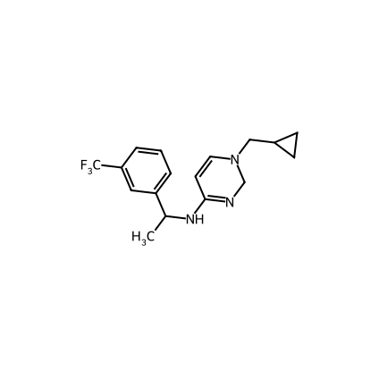 CC(NC1=NCN(CC2CC2)C=C1)c1cccc(C(F)(F)F)c1